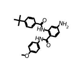 COc1ccc(NC(=O)c2ccc(N)cc2NC(=O)c2ccc(C(C)(C)C)cc2)cc1